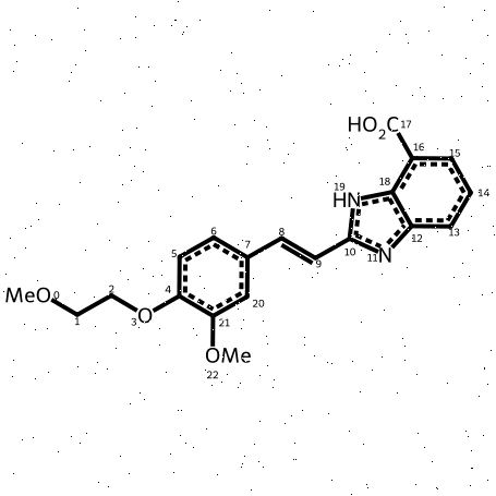 COCCOc1ccc(C=Cc2nc3cccc(C(=O)O)c3[nH]2)cc1OC